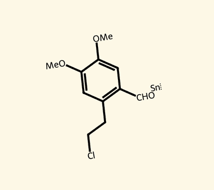 COc1cc(C=O)c(CCCl)cc1OC.[Sn]